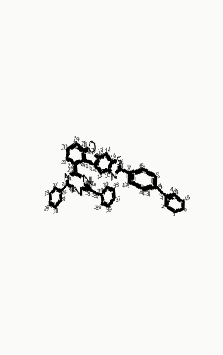 c1ccc(-c2ccc(-c3nc4cc5c(cc4s3)oc3cccc(-c4nc(-c6ccccc6)nc(-c6ccccc6)n4)c35)cc2)cc1